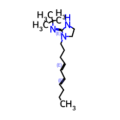 CCC/C=C/C=C/CCCN1CCN/C1=N\C(C)(C)C